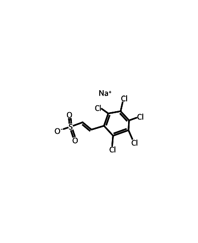 O=S(=O)([O-])C=Cc1c(Cl)c(Cl)c(Cl)c(Cl)c1Cl.[Na+]